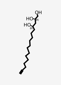 C#CCCCCCCCCCCC[C@@H](O)C[C@@H](O)CO